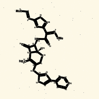 COC=Nc1nc(/C(=N/OC)C(=O)N[C@@H]2C(=O)N3C(C(=O)O)=C(Sc4nc(-c5ccncc5)cs4)CS[C@H]23)ns1